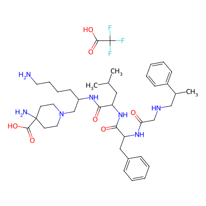 CC(C)CC(NC(=O)C(Cc1ccccc1)NC(=O)CNCC(C)c1ccccc1)C(=O)NC(CCCCN)CN1CCC(N)(C(=O)O)CC1.O=C(O)C(F)(F)F